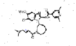 COc1cc2nc(NC(=O)c3cc(C)nc(C)c3)n(C3CCCCN(C(=O)/C=C/CN(C)C)C3)c2cc1Cl